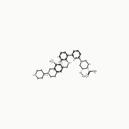 CO[C@@H]1CN(c2cccc(-c3cccc(Cl)c3OCc3cc(C)c4c(c3)CCN(C3CCOCC3)C4)n2)CC[C@@H]1C(=O)O